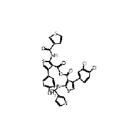 Cc1ccc(-c2csc(NC(=O)c3ccsc3)c2C(=O)OC(=O)c2c(-c3ccc(Cl)c(Cl)c3)csc2NC(=O)c2ccsc2)cc1